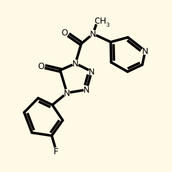 CN(C(=O)n1nnn(-c2cccc(F)c2)c1=O)c1cccnc1